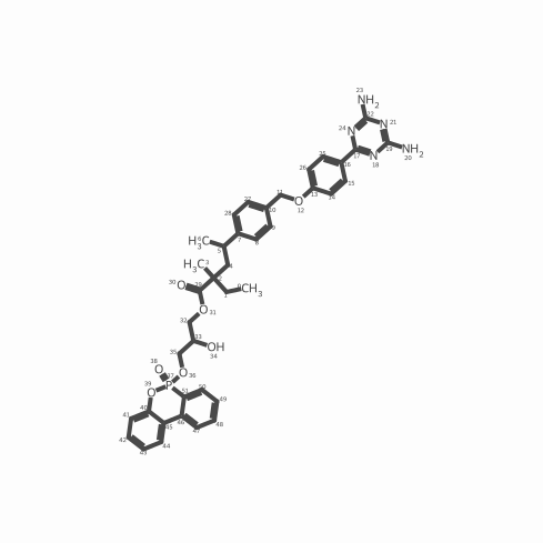 CCC(C)(CC(C)c1ccc(COc2ccc(-c3nc(N)nc(N)n3)cc2)cc1)C(=O)OCC(O)COP1(=O)Oc2ccccc2-c2ccccc21